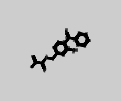 C=C(C)C(=O)OCc1ccc(C(=S)c2ccccc2)c(O)c1